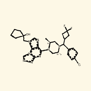 C[C@@H]1CN(c2nc3nncn3c3c2ncn3CC2(O)CCCC2)[C@@H](C)CN1C(c1ccc(Cl)cc1)C1CC(F)(F)C1